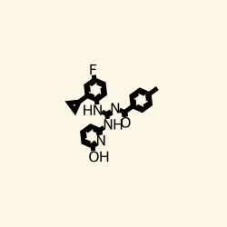 Cc1ccc(C(=O)/N=C(\Nc2cccc(O)n2)Nc2ccc(F)cc2C2CC2)cc1